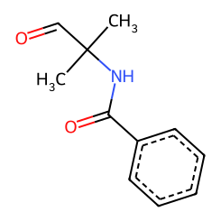 CC(C)(C=O)NC(=O)c1ccccc1